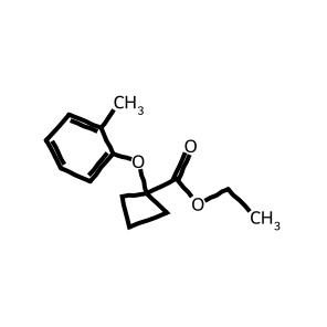 CCOC(=O)C1(Oc2ccccc2C)CCC1